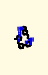 CC1CNCCN1Cc1cccc(-c2ccnc(NCCc3ccc4[nH]ccc4c3)n2)c1